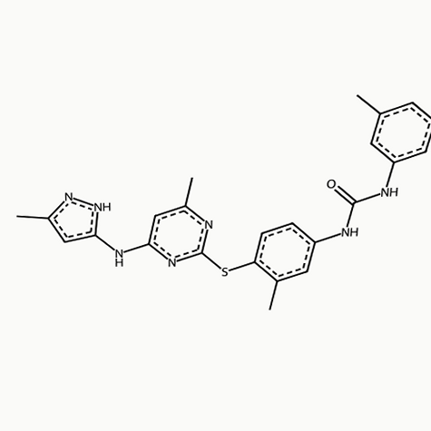 Cc1cccc(NC(=O)Nc2ccc(Sc3nc(C)cc(Nc4cc(C)n[nH]4)n3)c(C)c2)c1